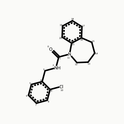 O=C(NCc1ccccc1Cl)N1CCCCc2ccccc21